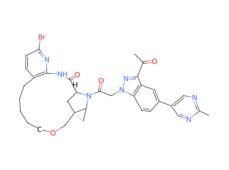 CC(=O)c1nn(CC(=O)N2C3C[C@@]34COCCCCCc3ccc(Br)nc3NC(=O)[C@@H]2C4)c2ccc(-c3cnc(C)nc3)cc12